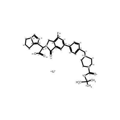 CC(C)(C)OC(=O)N1CCN(Cc2ccc(-c3cc(F)c4c(c3)C(=O)N(C(C(=O)[O-])c3ncn5c3CCC5)C4)cc2)CC1.[Li+]